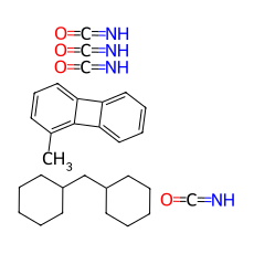 C1CCC(CC2CCCCC2)CC1.Cc1cccc2c1-c1ccccc1-2.N=C=O.N=C=O.N=C=O.N=C=O